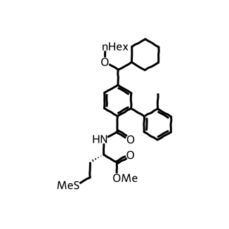 CCCCCCOC(c1ccc(C(=O)N[C@@H](CCSC)C(=O)OC)c(-c2ccccc2C)c1)C1CCCCC1